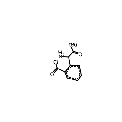 CC(C)(C)C(=O)C(N)c1ccccc1C(=O)Cl